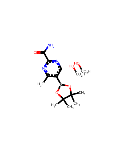 Cc1nc(C(N)=O)ncc1B1OC(C)(C)C(C)(C)O1.O=C(O)O.O=C(O)O